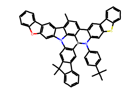 Cc1cc2c3c4c1c1cc5c(cc1n4-c1cc4c(cc1B3N(c1ccc(C(C)(C)C)cc1)c1cc3sc6ccccc6c3cc1-2)-c1ccccc1C4(C)C)oc1ccccc15